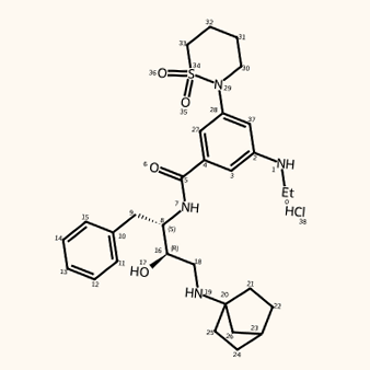 CCNc1cc(C(=O)N[C@@H](Cc2ccccc2)[C@H](O)CNC23CCC(CC2)C3)cc(N2CCCCS2(=O)=O)c1.Cl